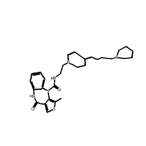 Cc1scc2c1N(C(=O)NCCN1CCC(CCCCN3CCCCC3)CC1)c1ccccc1NC2=O